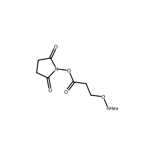 CCCCCCOCCC(=O)ON1C(=O)CCC1=O